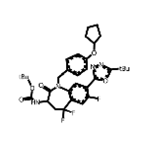 CC(C)(C)OC(=O)NC1CC(F)(F)c2cc(F)c(-c3nnc(C(C)(C)C)o3)cc2N(Cc2ccc(OC3CCCC3)cc2)C1=O